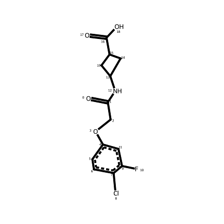 O=C(COc1ccc(Cl)c(F)c1)NC1CC(C(=O)O)C1